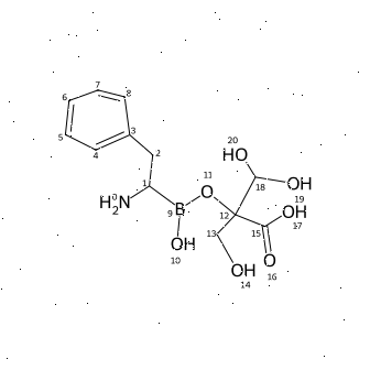 NC(Cc1ccccc1)B(O)OC(CO)(C(=O)O)C(O)O